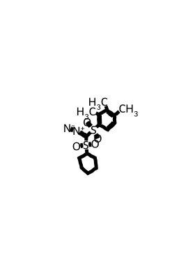 Cc1ccc(S(=O)(=O)C(=[N+]=[N-])S(=O)(=O)C2CCCCC2)c(C)c1C